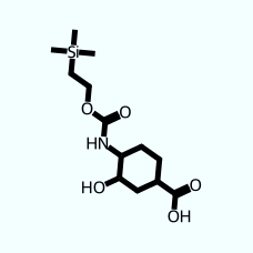 C[Si](C)(C)CCOC(=O)NC1CCC(C(=O)O)CC1O